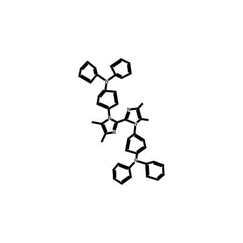 Cc1nc(-c2nc(C)c(C)n2-c2ccc(N(c3ccccc3)c3ccccc3)cc2)n(-c2ccc(N(c3ccccc3)c3ccccc3)cc2)c1C